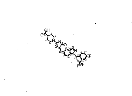 O=C1N=C(N2CCC(C(=O)O)CC2)SC1=Cc1ccc2c(cnn2Cc2ccc(F)cc2C(F)(F)F)c1